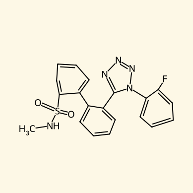 CNS(=O)(=O)c1ccccc1-c1ccccc1-c1nnnn1-c1ccccc1F